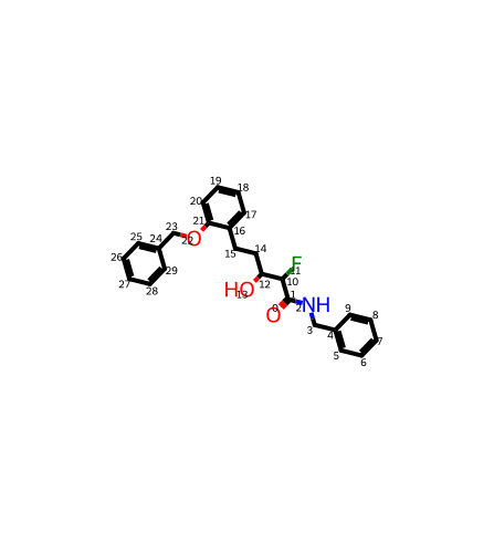 O=C(NCc1ccccc1)C(F)C(O)CCc1ccccc1OCc1ccccc1